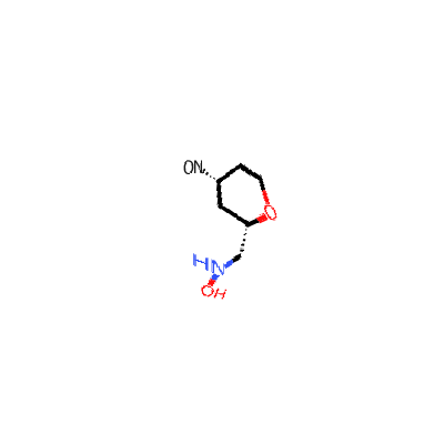 O=N[C@@H]1CCO[C@H](CNO)C1